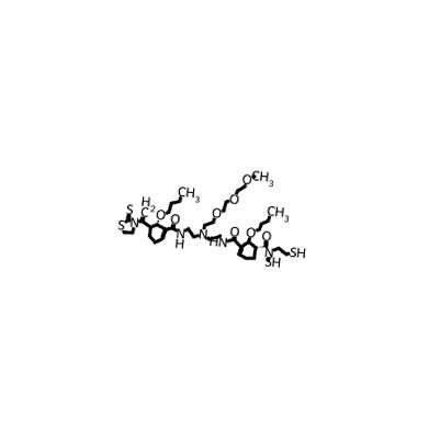 C=C(C1CCC=C(C(=O)NCCN(CCNC(=O)C2=CCC[C@@H](C(=O)N(S)CCS)C2OCCCC)CCOCCOCCOC)[C@H]1OCCCC)N1CCSC1=S